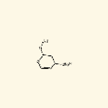 CCOC1CC(C(=O)O)C=CO1